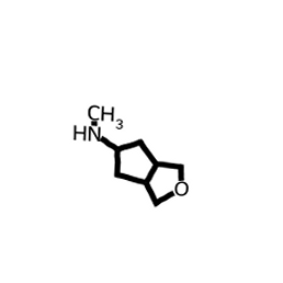 CNC1CC2COCC2C1